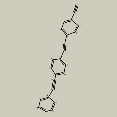 C#Cc1ccc(C#Cc2ccc(C#Cc3ccccc3)cc2)cc1